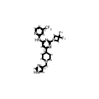 FC1(F)CN(c2nc(Nc3cc(C(F)(F)F)ccn3)cc(C3CCN(Cc4c[nH]cn4)CC3)n2)C1